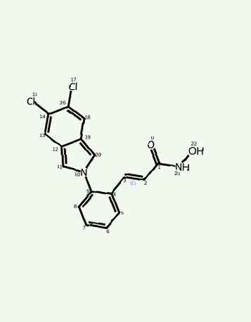 O=C(/C=C/c1ccccc1-n1cc2cc(Cl)c(Cl)cc2c1)NO